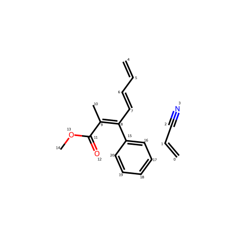 C=CC#N.C=CC=CC(=C(C)C(=O)OC)c1ccccc1